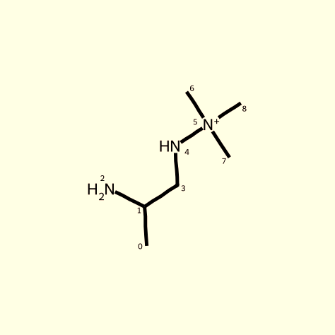 CC(N)CN[N+](C)(C)C